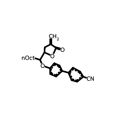 C=C1CC(C(CCCCCCCC)Oc2ccc(-c3ccc(C#N)cc3)cc2)OC1=O